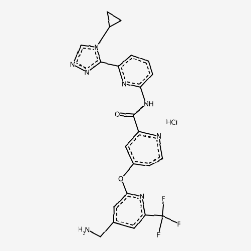 Cl.NCc1cc(Oc2ccnc(C(=O)Nc3cccc(-c4nncn4C4CC4)n3)c2)nc(C(F)(F)F)c1